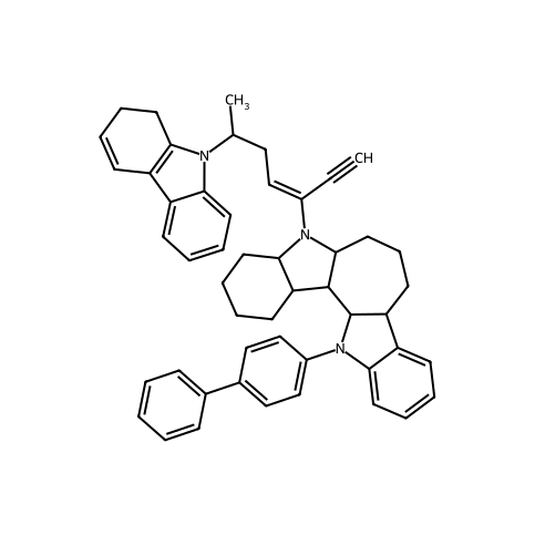 C#C/C(=C\CC(C)n1c2c(c3ccccc31)C=CCC2)N1C2CCCCC2C2C3C(CCCC21)c1ccccc1N3c1ccc(-c2ccccc2)cc1